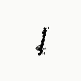 COc1cc(S(=O)(=O)O)ccc1N=Nc1ccc(N=Nc2cc(C)c(N=Nc3cc(O)c(N=Nc4c(S(=O)(=O)O)cc5cc(Nc6ccccc6)ccc5c4O)cc3C)cc2C)cc1C